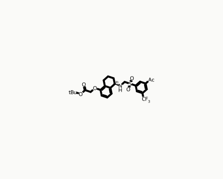 CC(=O)c1cc(C(F)(F)F)cc(S(=O)(=O)CN[C@@H]2CCCc3c(OCC(=O)OC(C)(C)C)cccc32)c1